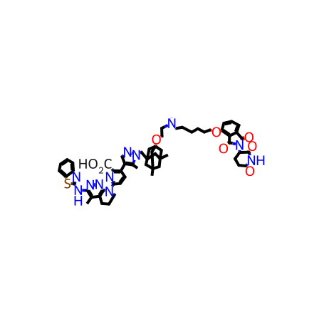 Cc1c(Nc2nc3ccccc3s2)nnc2c1CCCN2c1ccc(-c2cnn(CC34CC5(C)CC(C)(C3)CC(OCCN(C)CCCCCCOc3cccc6c3C(=O)N(C3CCC(=O)NC3=O)C6=O)(C5)C4)c2C)c(C(=O)O)n1